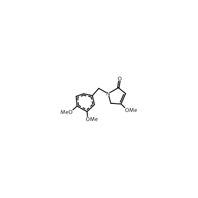 COC1=CC(=O)N(Cc2ccc(OC)c(OC)c2)C1